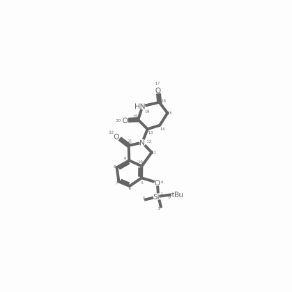 CC(C)(C)[Si](C)(C)Oc1cccc2c1CN(C1CCC(=O)NC1=O)C2=O